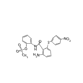 CS(=O)(=O)Oc1ccccc1NC(=O)c1c(N)cccc1Sc1ccc([N+](=O)[O-])cc1